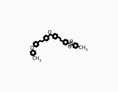 Cc1ccc(Oc2ccc(CCc3ccc(C(=O)c4ccc(CCc5ccc(S(=O)(=O)c6ccc(C)cc6)cc5)cc4)cc3)cc2)cc1